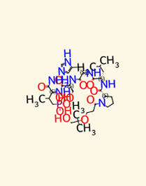 CC(C)C[C@H](NC(=O)[C@@H]1CCCN1C(=O)CCOC(C)(C)CO)C(=O)N[C@@H](Cc1cnc[nH]1)C(=O)N[C@@H](CO)C(=O)N[C@H](C(N)=O)C(C)CP(=O)(O)O